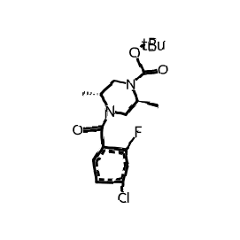 C[C@@H]1CN(C(=O)OC(C)(C)C)[C@@H](C)CN1C(=O)c1ccc(Cl)cc1F